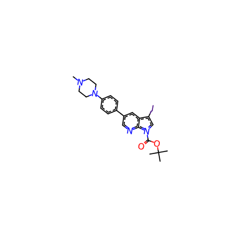 CN1CCN(c2ccc(-c3cnc4c(c3)c(I)cn4C(=O)OC(C)(C)C)cc2)CC1